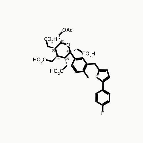 CC(=O)OC[C@@H]1O[C@@](CC(=O)O)(c2ccc(C)c(Cc3ccc(-c4ccc(F)cc4)s3)c2)[C@H](CC(=O)O)[C@@H](CC(=O)O)[C@H]1CC(=O)O